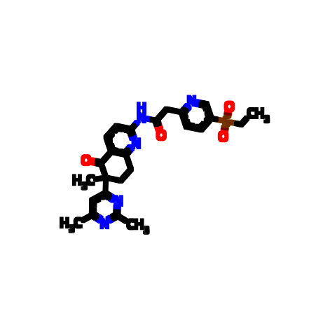 CCS(=O)(=O)c1ccc(CC(=O)Nc2ccc3c(n2)CCC(C)(c2cc(C)nc(C)n2)C3=O)nc1